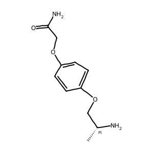 C[C@@H](N)COc1ccc(OCC(N)=O)cc1